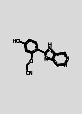 N#CCOc1cc(O)ccc1-c1nc2cnncc2[nH]1